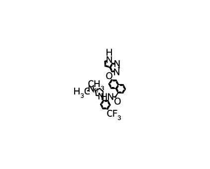 CN(C)[C@H]1CCN(c2ccc(C(F)(F)F)cc2NC(=O)c2cccc3cc(Oc4ncnc5[nH]ccc45)ccc23)C1